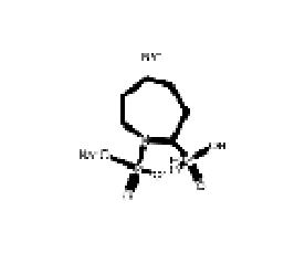 O=P(O)(O)C1CCCCCN1P(=O)([O-])[O-].[Na+].[Na+]